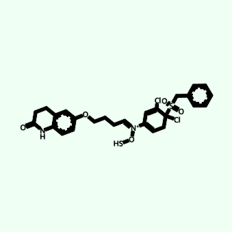 O=C1CCc2cc(OCCCC=[N+](OS)C3=CCC(Cl)(S(=O)(=O)Cc4ccccc4)C(Cl)=C3)ccc2N1